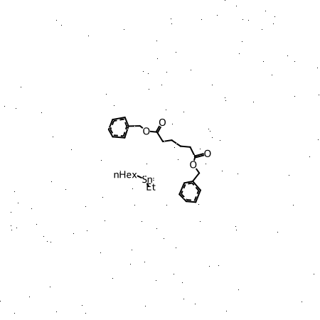 CCCCC[CH2][Sn][CH2]C.O=C(CCCCC(=O)OCc1ccccc1)OCc1ccccc1